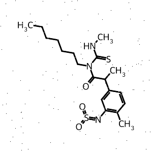 CCCCCCCN(C(=O)C(C)c1ccc(C)c(N=S(=O)=O)c1)C(=S)NC